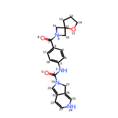 O=C(Nc1ccc(C(=O)N2CC3(CCCO3)C2)cc1)N1C=C2C=CNC=C2C1